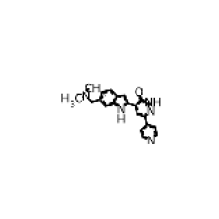 CN(C)Cc1ccc2cc(-c3cc(-c4ccncc4)n[nH]c3=O)[nH]c2c1